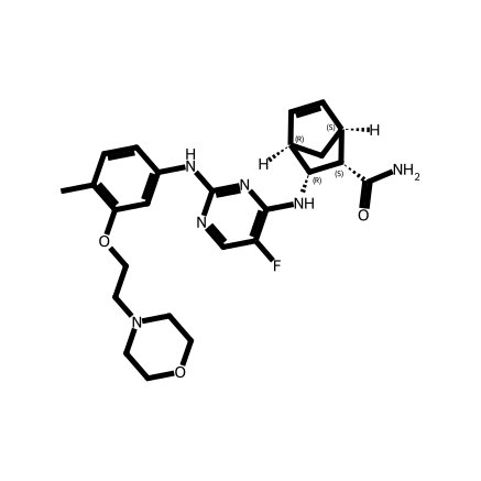 Cc1ccc(Nc2ncc(F)c(N[C@H]3[C@@H](C(N)=O)[C@@H]4C=C[C@H]3C4)n2)cc1OCCN1CCOCC1